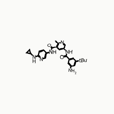 Cc1ncc(NC(=O)c2cc(N)cc(C(C)(C)C)c2)cc1C(=O)Nc1ccc(NC2CC2)nc1